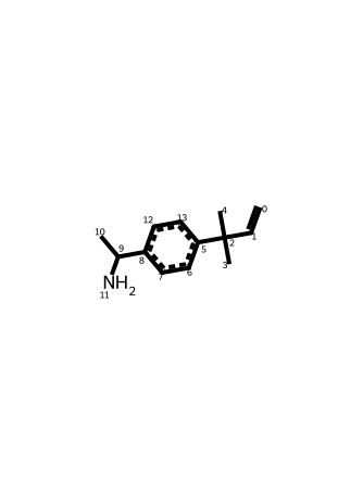 C=CC(C)(C)c1ccc(C(C)N)cc1